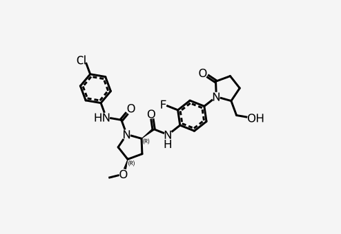 CO[C@@H]1C[C@H](C(=O)Nc2ccc(N3C(=O)CCC3CO)cc2F)N(C(=O)Nc2ccc(Cl)cc2)C1